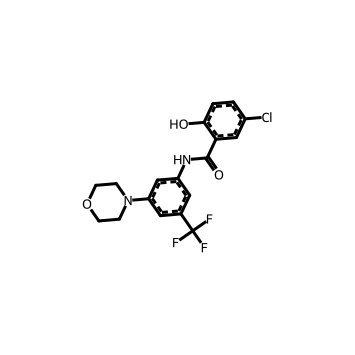 O=C(Nc1cc(N2CCOCC2)cc(C(F)(F)F)c1)c1cc(Cl)ccc1O